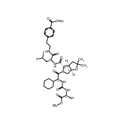 COC(=O)c1ccc(CCNC(=O)[C@H](CC(F)F)NC(=O)[C@@H]2[C@H]3CC(C)(C)O[C@H]3CN2C(=O)[C@@H](NC(=O)N[C@H](C(=O)OC(C)(C)C)C(C)C)C2CCCCC2)cc1